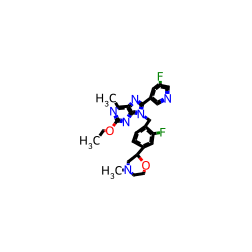 CCOc1nc(C)c2nc(-c3cncc(F)c3)n(Cc3ccc(C4CN(C)CCO4)cc3F)c2n1